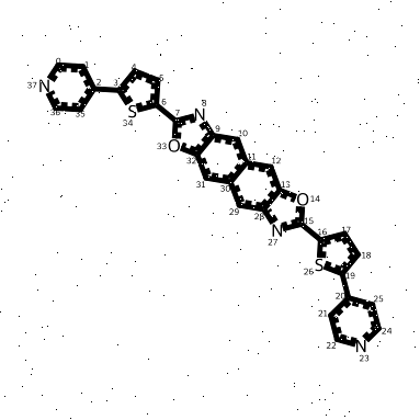 c1cc(-c2ccc(-c3nc4cc5cc6oc(-c7ccc(-c8ccncc8)s7)nc6cc5cc4o3)s2)ccn1